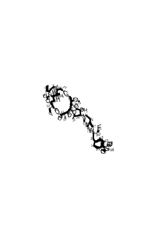 C=CC1CN=C2[C@H](C)CC[C@@](C)(OC)[C@H](O[C@@H]3O[C@H](C)C[C@H](N(C)CCc4cn([C@H](CF)Cc5ccc(S(C)(=O)=O)cc5)nn4)[C@H]3O)[C@@H](C)C(=O)[C@@H](C)C(=O)O[C@H](CC)[C@]3(C)C[C@@H]([C@H]2C)N1C(=O)O3